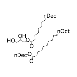 CCCCCCCCC=CCCCCCCCC(=O)OCCCCCCCCCC.CCCCCCCCCCCCCCCCCC(=O)OCC(O)CO